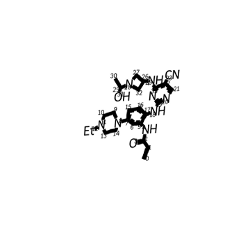 C=CC(=O)Nc1cc(N2CCN(CC)CC2)ccc1Nc1ncc(C#N)c(NC2CN(C(C)O)C2)n1